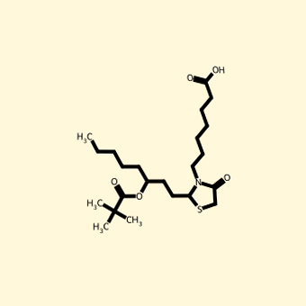 CCCCCC(CCC1SCC(=O)N1CCCCCCC(=O)O)OC(=O)C(C)(C)C